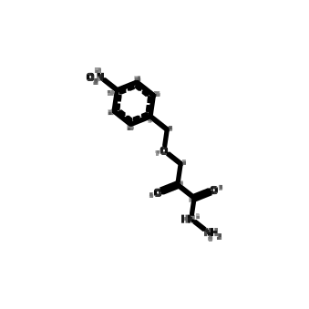 NNC(=O)C(=O)COCc1ccc([N+](=O)[O-])cc1